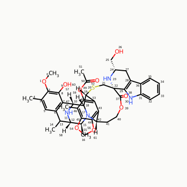 COc1c(C)cc2c(c1O)[C@H]1N[C@@H](C2C)[C@H](C)N2[C@H]1[C@@H]1SC[C@]3(N[C@H](CO)Cc4c3[nH]c3ccccc43)C(=O)OCC[C@H]2c2c3c(c(C)c(OC(C)=O)c21)OCO3